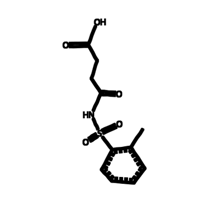 Cc1ccccc1S(=O)(=O)NC(=O)CCC(=O)O